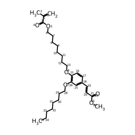 C=C(C)C(=O)OCCCCCCCCOc1ccc(C=CC(=O)OC)cc1OCCCCCCCC